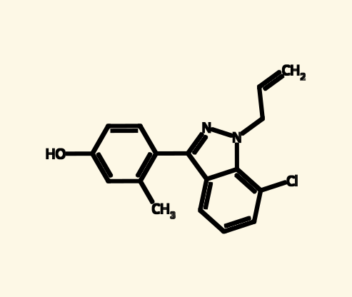 C=CCn1nc(-c2ccc(O)cc2C)c2cccc(Cl)c21